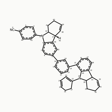 N#Cc1ccc(N2c3ccc(-c4cccc(-c5cccc6c5N(C5=CC=CCC5)C5CCC=CC65)c4)cc3[C@H]3C=CCCC32)cc1